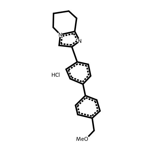 COCc1ccc(-c2ccc(-c3cn4c(n3)CCCC4)cc2)cc1.Cl